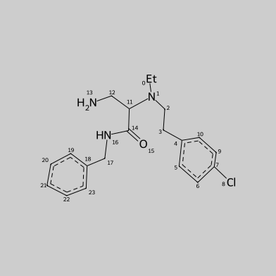 CCN(CCc1ccc(Cl)cc1)C(CN)C(=O)NCc1ccccc1